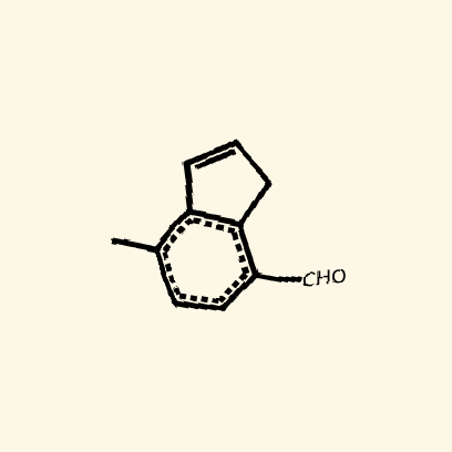 Cc1ccc(C=O)c2c1C=CC2